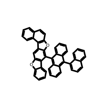 c1ccc2c(-c3c4ccccc4c(-c4c5oc6ccc7ccccc7c6c5cc5oc6ccccc6c45)c4ccccc34)cccc2c1